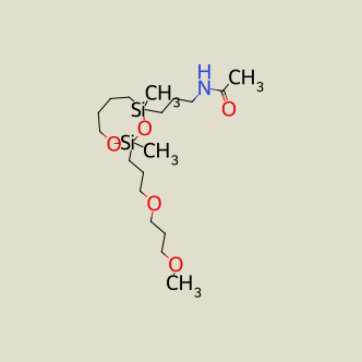 COCCCOCCC[Si]1(C)OCCCC[Si](C)(CCCNC(C)=O)O1